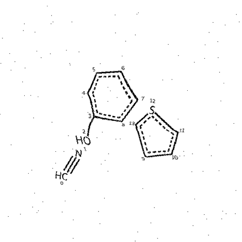 C#N.Oc1ccccc1.c1ccsc1